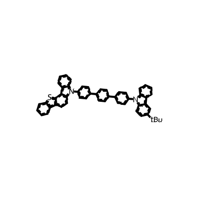 CC(C)(C)c1ccc2c(c1)c1ccccc1n2-c1ccc(-c2ccc(-c3ccc(-n4c5ccccc5c5c6sc7ccccc7c6ccc54)cc3)cc2)cc1